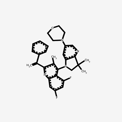 C=C(c1ccccc1)c1nc2cc(F)cc(F)c2c(N2CC(C)(C)c3ncc(N4CCOCC4)cc32)c1C